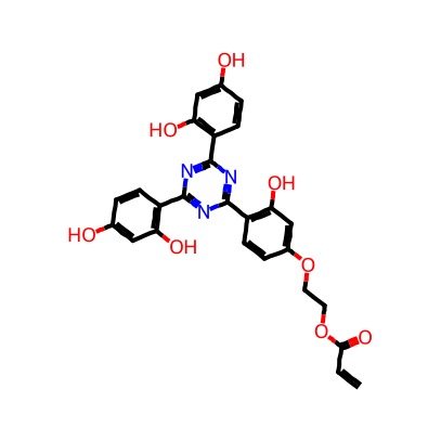 C=CC(=O)OCCOc1ccc(-c2nc(-c3ccc(O)cc3O)nc(-c3ccc(O)cc3O)n2)c(O)c1